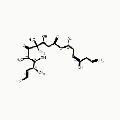 C=CC/C(C)=C\C[C@H](OC(=O)C[C@H](O)C(C)(C)C(=O)[C@H](C)[C@@H](O)[C@@H](C)/C=C/C)C(C)=O